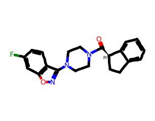 O=C([C@@H]1CCc2ccccc21)N1CCN(c2noc3cc(F)ccc23)CC1